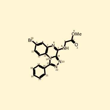 COC(=O)CNc1nc2cc(Br)ccc2n2c(-c3ccccc3)nnc12